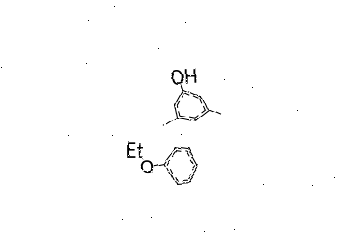 CCOc1ccccc1.Cc1cc(C)cc(O)c1